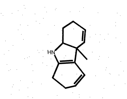 CC12C=CCCC1NC1=C2C=CCC1